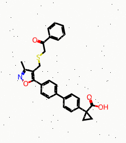 Cc1noc(-c2ccc(-c3ccc(C4(C(=O)O)CC4)cc3)cc2)c1CSCC(=O)c1ccccc1